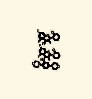 Cc1c(N2CCCCC2=O)nc2cc(F)cc(F)c2c1Cl.Cc1c(N2CCCCC2=O)nc2cc(F)cc(F)c2c1Nc1cc(N2CCOCC2)cnc1N1CCOCC1